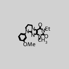 CCn1c(=O)c2c(nc3n2CCCN3c2cccc(OC)c2)n(C)c1=O